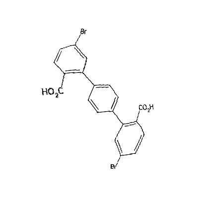 O=C(O)c1ccc(Br)cc1-c1ccc(-c2cc(Br)ccc2C(=O)O)cc1